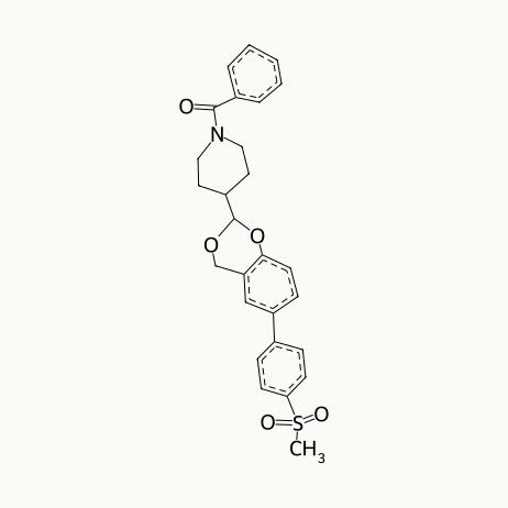 CS(=O)(=O)c1ccc(-c2ccc3c(c2)COC(C2CCN(C(=O)c4ccccc4)CC2)O3)cc1